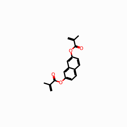 C=C(C)C(=O)Oc1ccc2ccc(OC(=O)C(=C)C)cc2c1